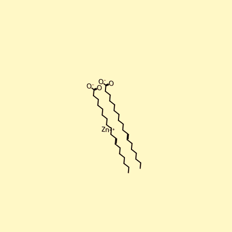 CCCCCC/C=C/CCCCCCCCCC(=O)[O-].CCCCCC/C=C/CCCCCCCCCC(=O)[O-].[Zn+2]